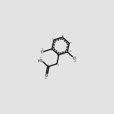 O=C(S)Cc1c(Cl)cccc1Cl